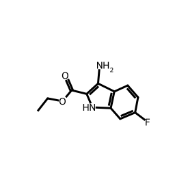 CCOC(=O)c1[nH]c2cc(F)ccc2c1N